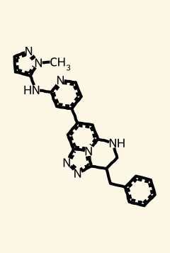 Cn1nccc1Nc1cc(-c2cc3n4c(nnc4c2)C(Cc2ccccc2)CN3)ccn1